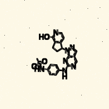 CS(=O)(=O)Nc1ccc(Nc2ncc3cnn(C4CCc5c4ccnc5O)c3n2)cc1